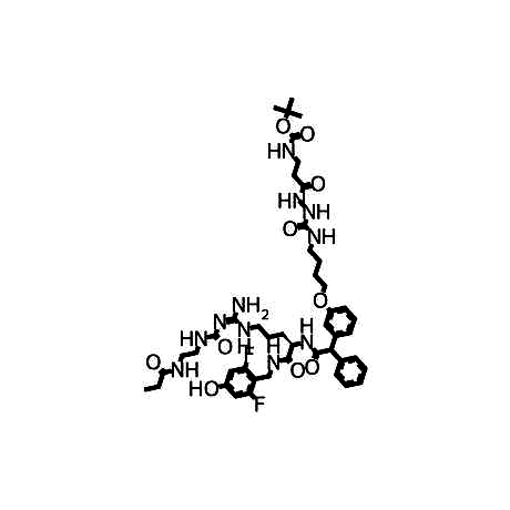 CCC(=O)NCCNC(=O)/N=C(/N)NCCC[C@@H](NC(=O)C(c1ccccc1)c1cccc(OCCCCNC(=O)NNC(=O)CCNC(=O)OC(C)(C)C)c1)C(=O)NCc1c(F)cc(O)cc1F